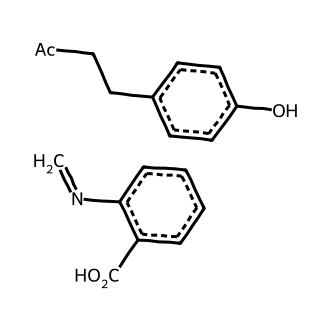 C=Nc1ccccc1C(=O)O.CC(=O)CCc1ccc(O)cc1